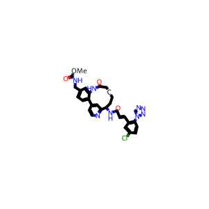 COC(=O)NCc1ccc2c(c1)NC(=O)CCCCC(NC(=O)C=Cc1cc(Cl)ccc1-n1cnnn1)c1cc-2ccn1